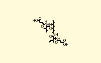 CCC(CCCCNC(=O)[C@@H](NC(=O)CCC(=O)O)C(C)CC)NC(=O)[C@@H](NC(=O)CCC(=O)O)C(C)CC